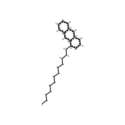 CCCCCCCCCCCC[CH]c1cccc2cc3ccccc3cc12